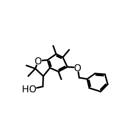 Cc1c(C)c2c(c(C)c1OCc1ccccc1)C(CO)C(C)(C)O2